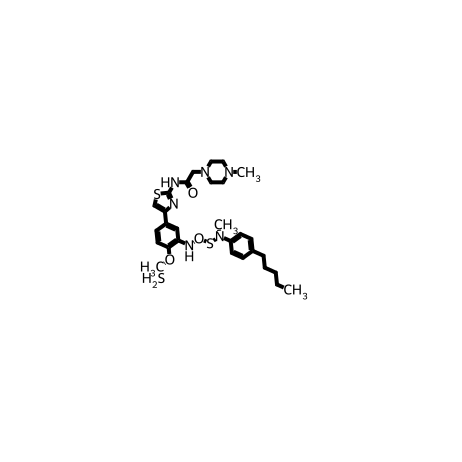 CCCCCc1ccc(N(C)SONc2cc(-c3csc(NC(=O)CN4CCN(C)CC4)n3)ccc2OC)cc1.S